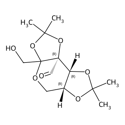 CC1(C)O[C@@H]2[C@@H](COC3(CO)OC(C)(C)O[C@@]23C=O)O1